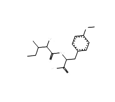 CCC(C)C(N)C(=O)NC(Cc1ccc(OC)cc1)C(=O)O